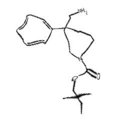 CC(C)(C)OC(=O)N1CCC(CN)(c2ccccc2)C1